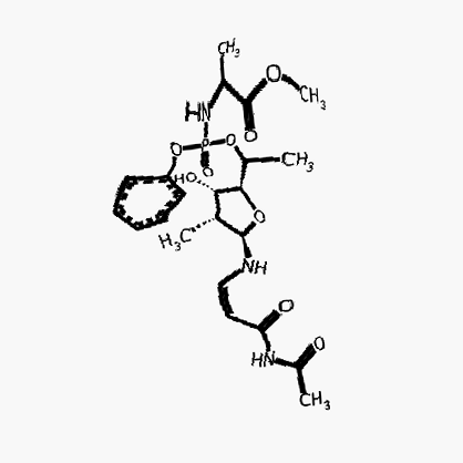 COC(=O)C(C)NP(=O)(Oc1ccccc1)OC(C)[C@H]1O[C@@H](N/C=C\C(=O)NC(C)=O)[C@H](C)[C@@H]1O